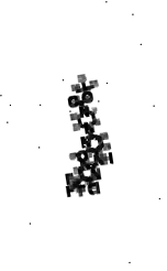 COc1nc(N2CCN(C(=O)OC(C)(C)C)CC2)ccc1Nc1ncc(C(F)(F)F)c(Cl)n1